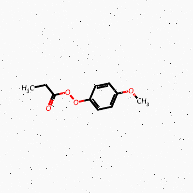 CCC(=O)OOc1ccc(OC)cc1